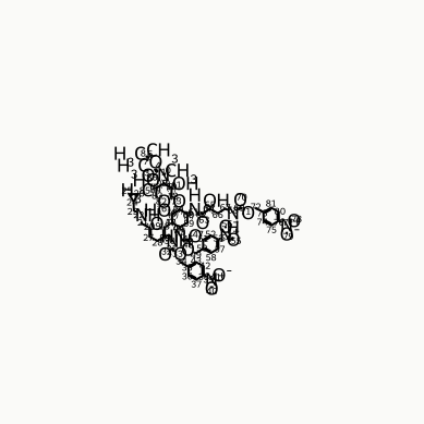 CN(C(=O)OC(C)(C)C)[C@@H]1[C@@H](O)[C@@H](O[C@@H]2[C@@H](O)[C@H](C3OC(CNCC4CC4)=CC[C@H]3NC(=O)OCc3ccc([N+](=O)[O-])cc3)[C@@H](NC(=O)OCc3ccc([N+](=O)[O-])cc3)C[C@H]2NC(=O)[C@H](O)CCNC(=O)OCc2ccc([N+](=O)[O-])cc2)OC[C@]1(C)O